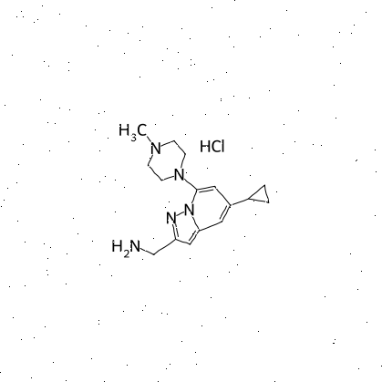 CN1CCN(c2cc(C3CC3)cc3cc(CN)nn23)CC1.Cl